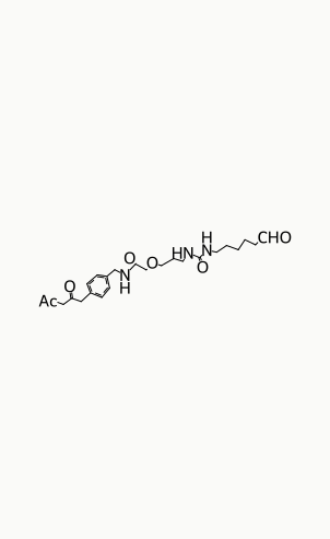 CC(=O)CC(=O)Cc1ccc(CNC(=O)COCCCNC(=O)NCCCCCC=O)cc1